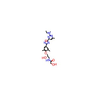 CCN(C)c1nc(C)cc(-c2nc(-c3cc(C)c(OC[C@@H](O)CNC(=O)CO)c(C)c3)no2)n1